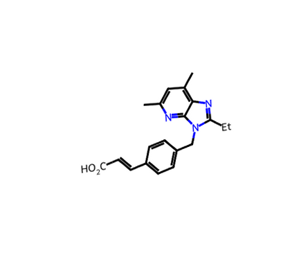 CCc1nc2c(C)cc(C)nc2n1Cc1ccc(C=CC(=O)O)cc1